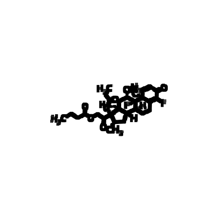 CCCC(=O)OCC(=O)[C@@]1(OC(=O)CC)[C@H](C)C[C@H]2[C@@H]3CCC4=C(F)C(=O)C=C[C@]4(C)[C@@]3(F)[C@@H](O)C[C@@]21C